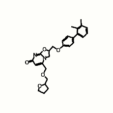 Cc1cccc(-c2ccc(OCC3Cn4c(COCC5CCCO5)cc(=O)nc4O3)cc2)c1C